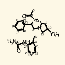 CC(=O)N(C)C(CN1CCC(O)C1)c1ccccc1.Cc1ccncc1NC(N)=O